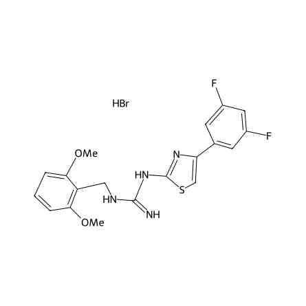 Br.COc1cccc(OC)c1CNC(=N)Nc1nc(-c2cc(F)cc(F)c2)cs1